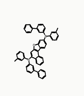 Cc1cccc(N(c2cccc(-c3ccccc3)c2)c2ccc3c(c2)oc2cc(N(c4cccc(C)c4)c4cccc(-c5ccccc5)c4)c4ccccc4c23)c1